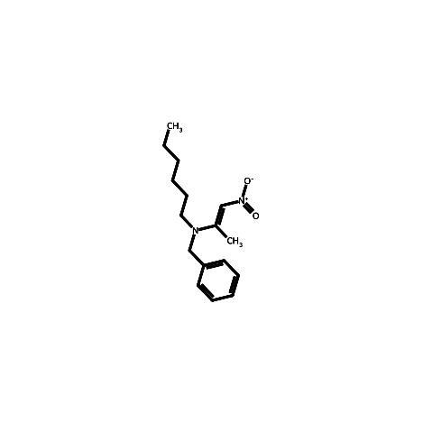 CCCCCCN(Cc1ccccc1)/C(C)=C/[N+](=O)[O-]